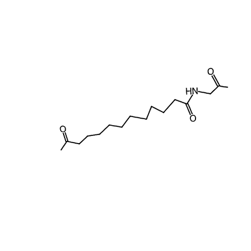 CC(=O)CCCCCCCCCCC(=O)NCC(C)=O